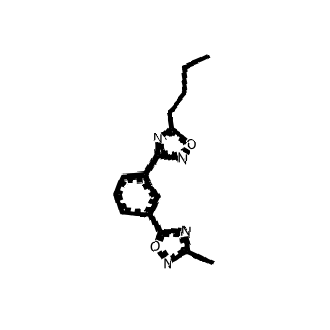 CCCCc1nc(-c2cccc(-c3nc(C)no3)c2)no1